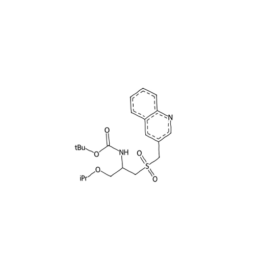 CC(C)OCC(CS(=O)(=O)Cc1cnc2ccccc2c1)NC(=O)OC(C)(C)C